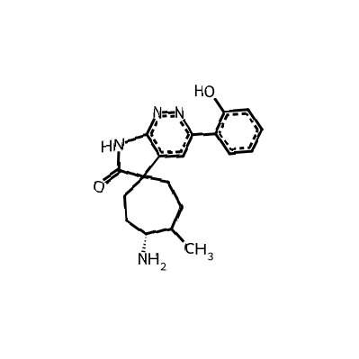 CC1CCC2(CC[C@H]1N)C(=O)Nc1nnc(-c3ccccc3O)cc12